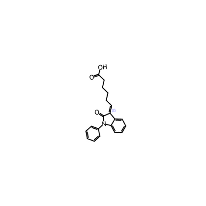 O=C(O)CCCC/C=C1\C(=O)N(c2ccccc2)c2ccccc21